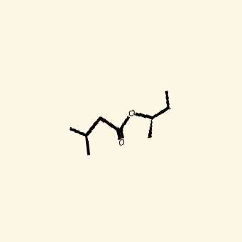 C[CH][C@@H](C)OC(=O)CC(C)C